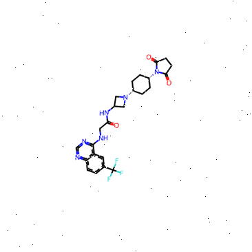 O=C(CNc1ncnc2ccc(C(F)(F)F)cc12)NC1CN([C@H]2CC[C@@H](N3C(=O)CCC3=O)CC2)C1